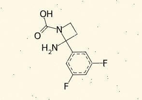 NC1(c2cc(F)cc(F)c2)CCN1C(=O)O